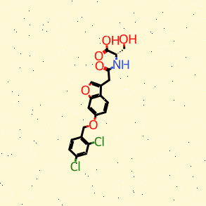 O=C(Cc1coc2cc(OCc3ccc(Cl)cc3Cl)ccc12)N[C@@H](CO)C(=O)O